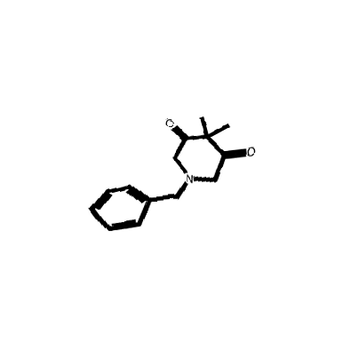 CC1(C)C(=O)CN(Cc2ccccc2)CC1=O